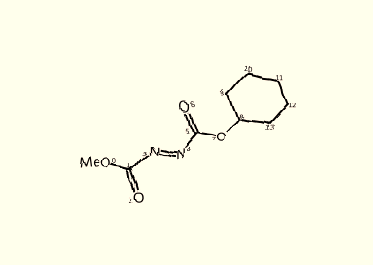 COC(=O)N=NC(=O)OC1CCCCC1